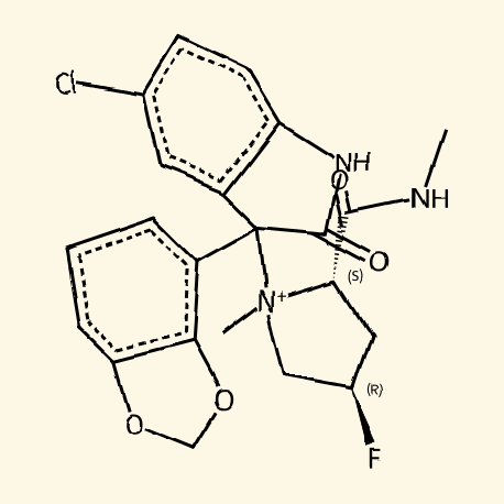 CNC(=O)[C@@H]1C[C@@H](F)C[N+]1(C)C1(c2cccc3c2OCO3)C(=O)Nc2ccc(Cl)cc21